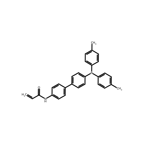 C=CC(=O)Nc1ccc(-c2ccc(N(c3ccc(C)cc3)c3ccc(C)cc3)cc2)cc1